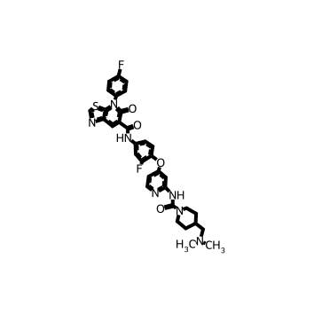 CN(C)CC1CCN(C(=O)Nc2cc(Oc3ccc(NC(=O)c4cc5ncsc5n(-c5ccc(F)cc5)c4=O)cc3F)ccn2)CC1